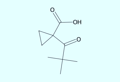 CC(C)(C)C(=O)C1(C(=O)O)CC1